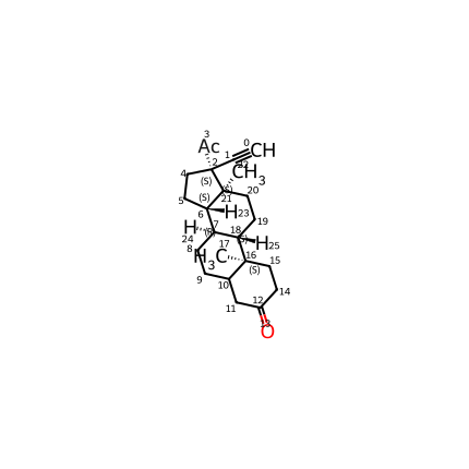 C#C[C@]1(C(C)=O)CC[C@H]2[C@@H]3CCC4CC(=O)CC[C@]4(C)[C@H]3CC[C@@]21C